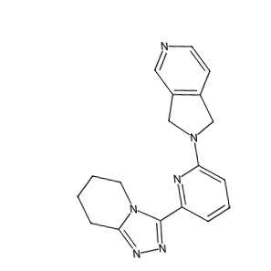 c1cc(-c2nnc3n2CCCC3)nc(N2Cc3ccncc3C2)c1